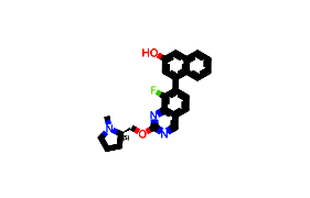 CN1CCC[C@H]1COc1ncc2ccc(-c3cc(O)cc4ccccc34)c(F)c2n1